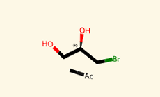 CC(C)=O.OC[C@@H](O)CBr